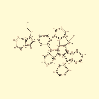 CCCn1c(-c2cccc(-n3c4ccccc4c4c3c3c(c5c6ccccc6n(-c6ccccc6)c54)C(C)(C)c4ccccc4-3)c2)nc2ccccc21